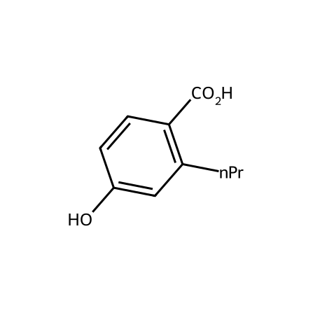 CCCc1cc(O)ccc1C(=O)O